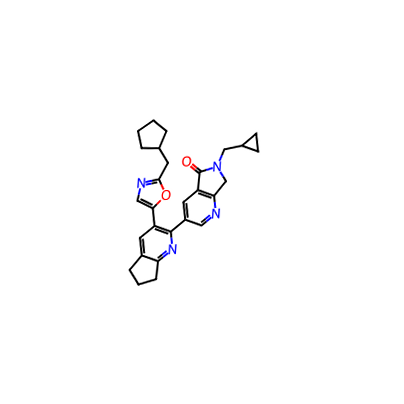 O=C1c2cc(-c3nc4c(cc3-c3cnc(CC5CCCC5)o3)CCC4)cnc2CN1CC1CC1